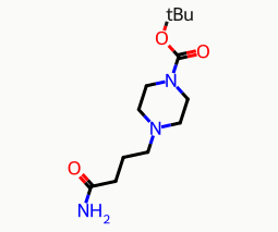 CC(C)(C)OC(=O)N1CCN(CCCC(N)=O)CC1